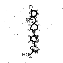 N#CC1(Cc2ccc(F)cc2Cl)CCN(c2ccc(-c3nnc(CO)o3)nn2)CC1